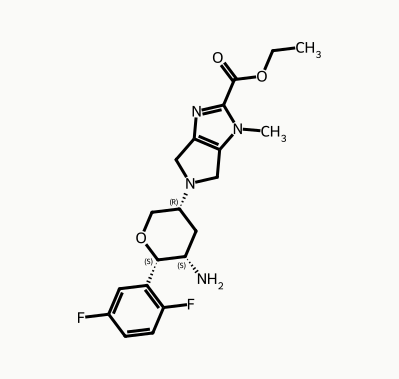 CCOC(=O)c1nc2c(n1C)CN([C@H]1CO[C@@H](c3cc(F)ccc3F)[C@@H](N)C1)C2